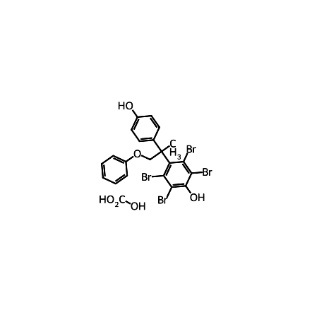 CC(COc1ccccc1)(c1ccc(O)cc1)c1c(Br)c(Br)c(O)c(Br)c1Br.O=C(O)O